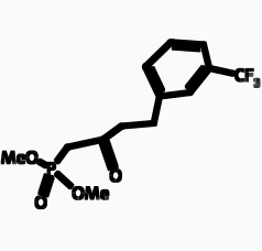 COP(=O)(CC(=O)CCc1cccc(C(F)(F)F)c1)OC